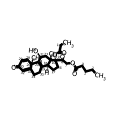 CCCCC(=O)OCC(=O)[C@@]1(OC(=O)CC)CC[C@H]2C3=C([C@@H](O)C[C@@]21C)[C@@]1(C)C=CC(=O)C=C1CC3